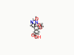 COc1cnc2cccc([C@H]3OC(C)(C)O[C@@H]3C3CCC(C(=O)O)CC3)c2n1